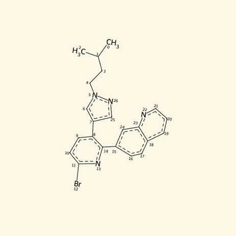 CC(C)CCn1cc(-c2ccc(Br)nc2-c2ccc3cccnc3c2)cn1